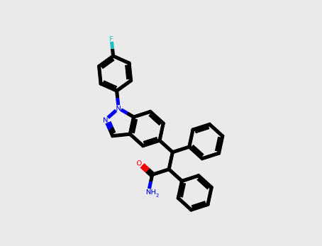 NC(=O)C(c1ccccc1)C(c1ccccc1)c1ccc2c(cnn2-c2ccc(F)cc2)c1